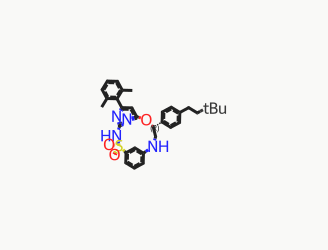 Cc1cccc(C)c1-c1cc2nc(n1)NS(=O)(=O)c1cccc(c1)NC[C@@H](c1ccc(CCC(C)(C)C)cc1)O2